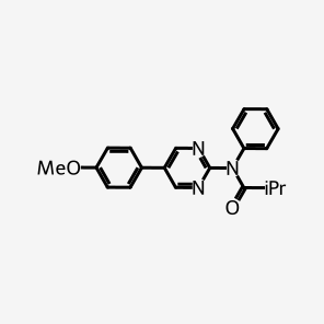 COc1ccc(-c2cnc(N(C(=O)C(C)C)c3ccccc3)nc2)cc1